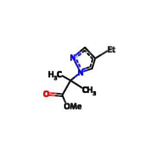 CCc1cnn(C(C)(C)C(=O)OC)c1